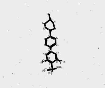 CC1CCC(c2ccc(-c3cc(F)c(C(F)(F)F)c(F)c3)cc2)CC1